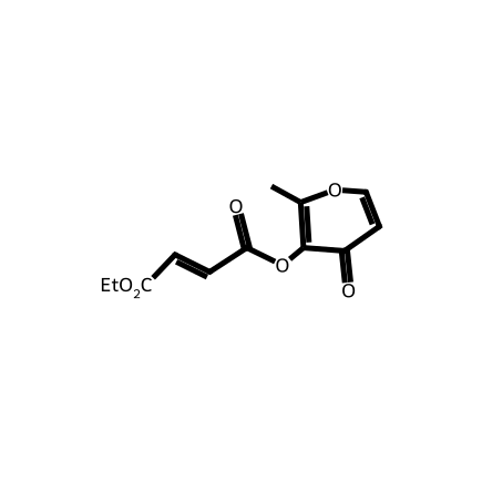 CCOC(=O)C=CC(=O)Oc1c(C)occc1=O